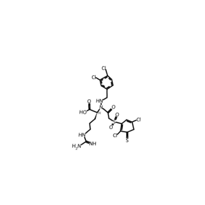 N=C(N)NCCC[C@@H](C(=O)O)N(NCc1ccc(Cl)c(Cl)c1)C(=O)CS(=O)(=O)C1=C(Cl)C(=S)CC(Cl)=C1